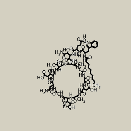 CCCCCCCCCC(=O)NC(Cc1c[nH]c2ccccc12)C(=O)NC(CCC(=O)O)C(=O)NC(C(=O)NC1C(=O)N(C)CC(=O)NC(C)C(=O)NC(CC(=O)O)C(=O)NC(C)C(=O)NC(C(OC)C(=O)O)C(=O)NCC(=O)NC(CC(N)=O)C(=O)NC(C(C)CC(=O)O)C(=O)NC(C(C)C)C(=O)OC1C)C(O)C(N)=O